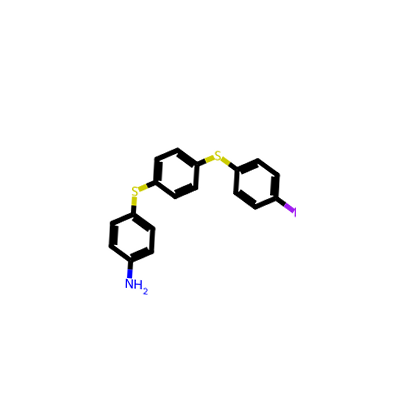 Nc1ccc(Sc2ccc(Sc3ccc(I)cc3)cc2)cc1